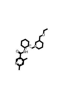 CCOCC1CCCN(C[C@H]2CCCC[C@@H]2NC(=O)c2cnc(C)cc2C)C1